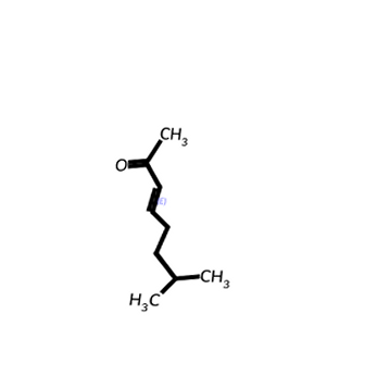 CC(=O)/C=C/CCC(C)C